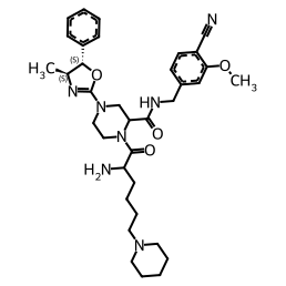 COc1cc(CNC(=O)C2CN(C3=N[C@@H](C)[C@H](c4ccccc4)O3)CCN2C(=O)C(N)CCCCN2CCCCC2)ccc1C#N